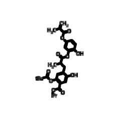 C=C(C)C(=O)Oc1ccc(O)c(OC(=O)C(C)Cc2cc(OC(=O)C(C)(C)C)c(C(=O)OC(C)C)cc2O)c1